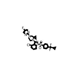 O=S(=O)(c1ccc(C(F)(F)C2CC2)cc1)n1nc(N2CCN(c3ncc(F)cn3)CC23CC3)c2c(Cl)cccc21